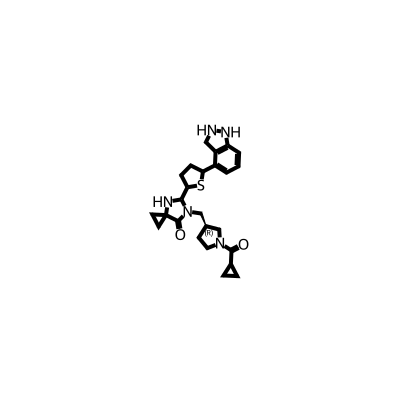 O=C(C1CC1)N1CC[C@@H](CN2C(=O)C3(CC3)NC2C2CCC(c3cccc4c3CNN4)S2)C1